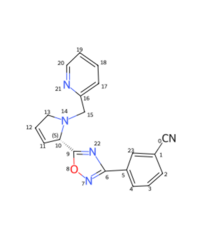 N#Cc1cccc(-c2noc([C@@H]3C=CCN3Cc3ccccn3)n2)c1